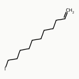 C=CCCCCCCCCCI